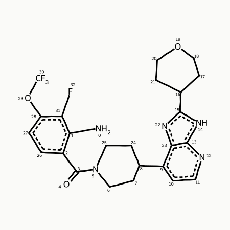 Nc1c(C(=O)N2CCC(c3ccnc4[nH]c(C5CCOCC5)nc34)CC2)ccc(OC(F)(F)F)c1F